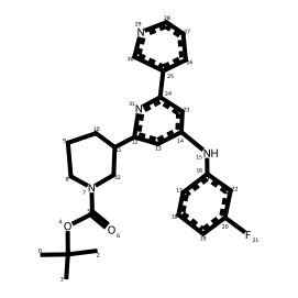 CC(C)(C)OC(=O)N1CCCC(c2cc(Nc3cccc(F)c3)cc(-c3cccnc3)n2)C1